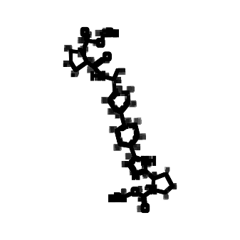 CCCCOC(=O)N1CCCC1c1ncc(-c2ccc(-c3ccc(C(C)NC(=O)C4CCCN4C(=O)OC(C)(C)C)cc3)cc2)[nH]1